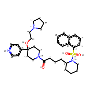 O=C(CCCC1CCCCN1S(=O)(=O)c1cccc2ccccc12)N1CCC(OCCN2CCCC2)(c2ccncc2)CC1